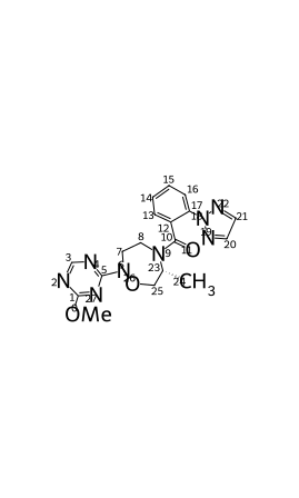 COc1ncnc(N2CCN(C(=O)c3ccccc3-n3nccn3)[C@H](C)CO2)n1